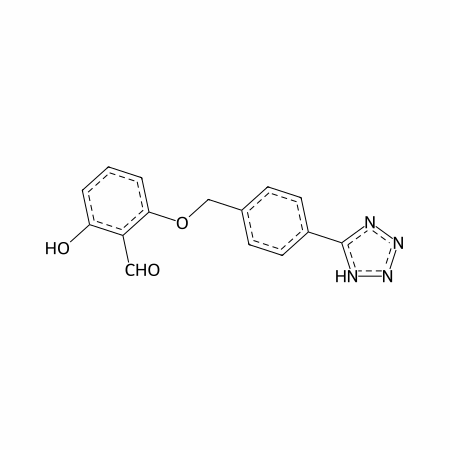 O=Cc1c(O)cccc1OCc1ccc(-c2nnn[nH]2)cc1